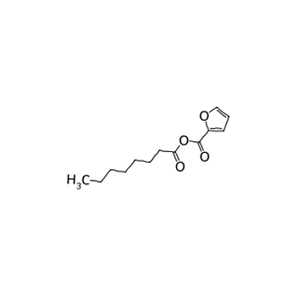 CCCCCCCC(=O)OC(=O)c1ccco1